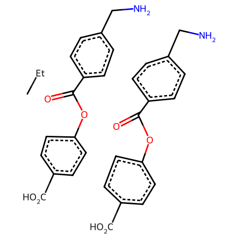 CCC.NCc1ccc(C(=O)Oc2ccc(C(=O)O)cc2)cc1.NCc1ccc(C(=O)Oc2ccc(C(=O)O)cc2)cc1